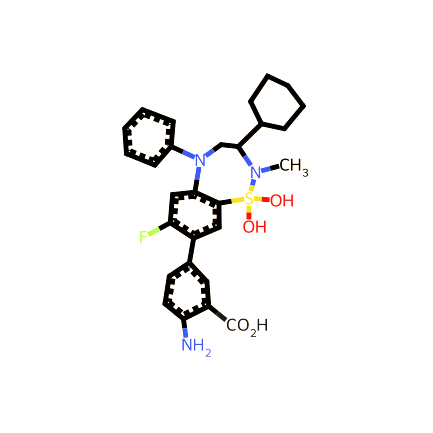 CN1C(C2CCCCC2)CN(c2ccccc2)c2cc(F)c(-c3ccc(N)c(C(=O)O)c3)cc2S1(O)O